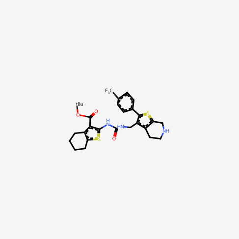 CC(C)(C)OC(=O)c1c(NC(=O)NCc2c(-c3ccc(C(F)(F)F)cc3)sc3c2CCNC3)sc2c1CCCC2